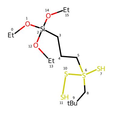 CCO[Si](CCCS(S)(CC(C)(C)C)SS)(OCC)OCC